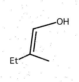 [CH2]CC(C)=CO